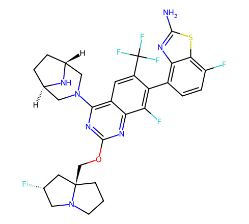 Nc1nc2c(-c3c(C(F)(F)F)cc4c(N5C[C@H]6CC[C@H](C5)N6)nc(OC[C@@]56CCCN5C[C@H](F)C6)nc4c3F)ccc(F)c2s1